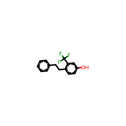 Oc1ccc(CCc2ccccc2)c(C(F)(F)F)c1